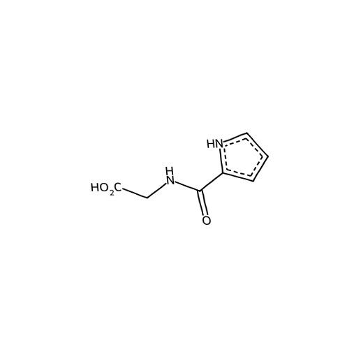 O=C(O)CNC(=O)c1ccc[nH]1